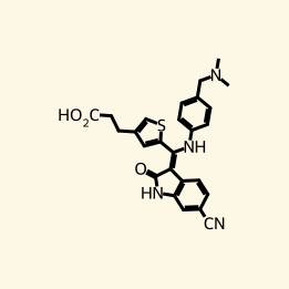 CN(C)Cc1ccc(NC(=C2C(=O)Nc3cc(C#N)ccc32)c2cc(CCC(=O)O)cs2)cc1